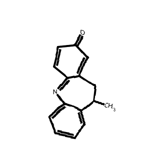 CC1CC2=CC(=O)C=CC2=Nc2ccccc21